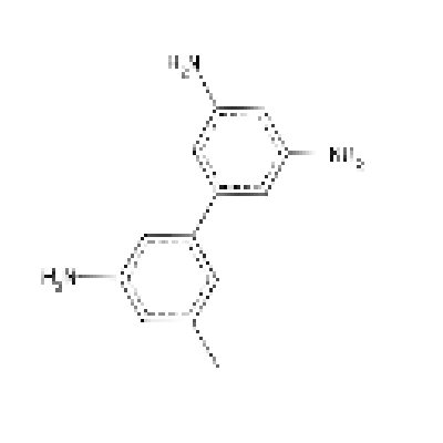 Cc1cc(N)cc(-c2cc(N)cc(N)c2)c1